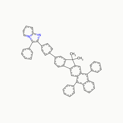 CC1(C)c2cc(-c3ccc(-c4nc5ccccn5c4-c4ccccc4)cc3)ccc2-c2cc3c(-c4ccccc4)c4ccccc4c(-c4ccccc4)c3cc21